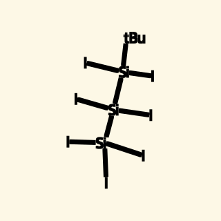 CC(C)(C)[Si](I)(I)[Si](I)(I)[Si](I)(I)I